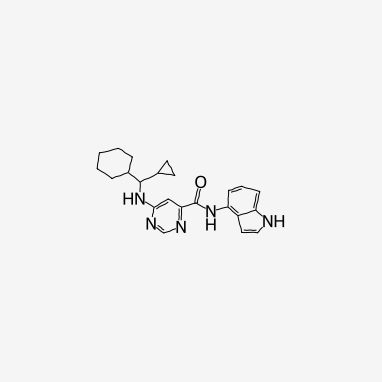 O=C(Nc1cccc2[nH]ccc12)c1cc(NC(C2CCCCC2)C2CC2)ncn1